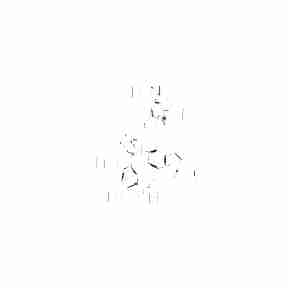 CN/C(=C\C(N)=O)CSc1nnc(-c2cc(C(C)C)c(O)cc2O)n1-c1ccc2c(ccn2C)c1